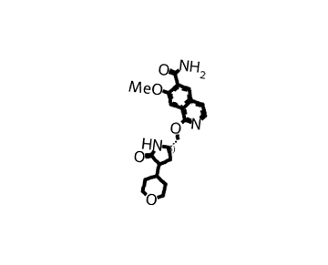 COc1cc2c(OC[C@@H]3CC(C4CCOCC4)C(=O)N3)nccc2cc1C(N)=O